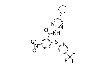 O=C(Nc1ncc(C2CCCC2)cn1)c1cc([N+](=O)[O-])ccc1Sc1ccc(C(F)(F)F)cn1